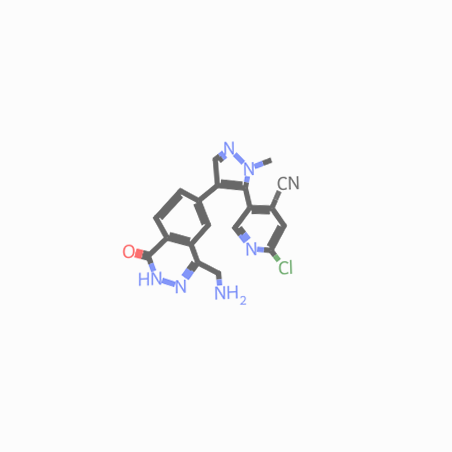 Cn1ncc(-c2ccc3c(=O)[nH]nc(CN)c3c2)c1-c1cnc(Cl)cc1C#N